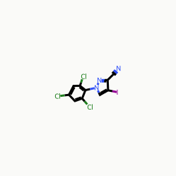 N#Cc1nn(-c2c(Cl)cc(Cl)cc2Cl)cc1I